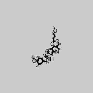 COCCCC(=O)Oc1c(C)cnc(C[S+]([O-])C2=Nc3cc(OC)ccc3CN2)c1C